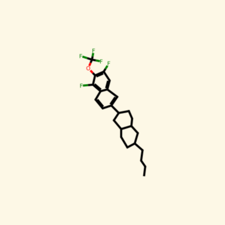 CCCCC1CCC2CC(c3ccc4c(F)c(OC(F)(F)F)c(F)cc4c3)CCC2C1